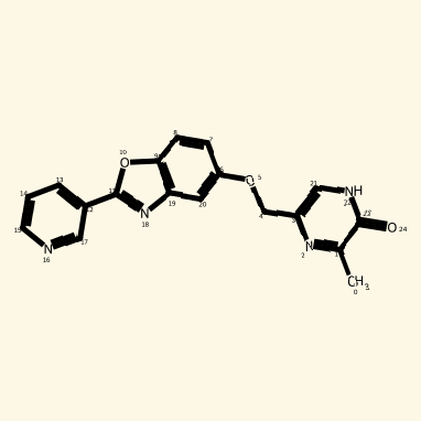 Cc1nc(COc2ccc3oc(-c4cccnc4)nc3c2)c[nH]c1=O